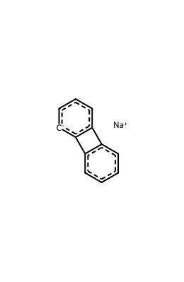 [Na+].[c-]1cccc2c1-c1ccccc1-2